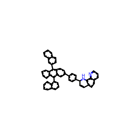 C1=CC(c2ccc(-c3ccc4c(-c5ccc6ccccc6c5)c5ccccc5c(-c5cccc6ccccc56)c4c3)cc2)Nc2c1ccc1cccnc21